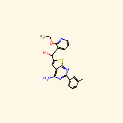 Cc1cccc(-c2nc(N)c3cc(C(O)c4cccnc4OCC(F)(F)F)sc3n2)c1